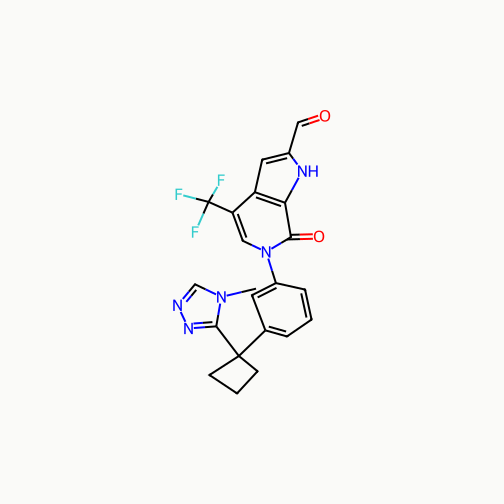 Cn1cnnc1C1(c2cccc(-n3cc(C(F)(F)F)c4cc(C=O)[nH]c4c3=O)c2)CCC1